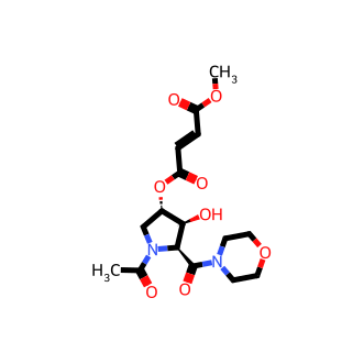 COC(=O)/C=C/C(=O)O[C@H]1CN(C(C)=O)[C@H](C(=O)N2CCOCC2)[C@@H]1O